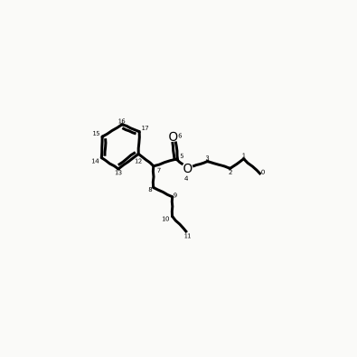 CCCCOC(=O)C(CCCC)c1ccccc1